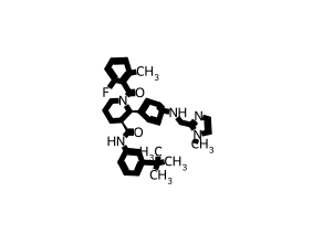 Cc1cccc(F)c1C(=O)N1CCC[C@H](C(=O)Nc2cccc(C(C)(C)C)c2)[C@@H]1c1ccc(NCc2nccn2C)cc1